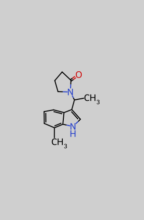 Cc1cccc2c(C(C)N3CCCC3=O)c[nH]c12